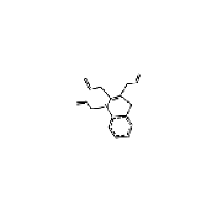 C=CCC1=C(CC=C)N(CC=C)c2ccccc2C1